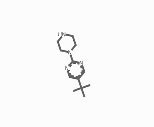 CC(C)(C)c1cnc(N2CCNCC2)nc1